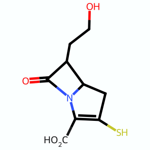 O=C(O)C1=C(S)CC2C(CCO)C(=O)N12